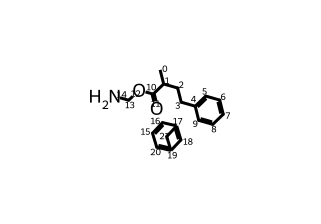 CC(CCc1ccccc1)C(=O)OCN.c1cc2cc(c1)C2